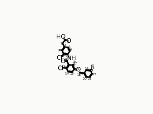 O=C(O)Cc1ccc(NC(=O)c2c(Cl)ccc(OCc3cccc(F)c3)c2F)c(Cl)c1